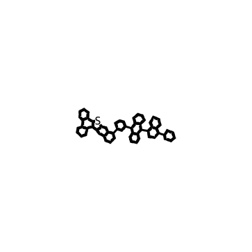 c1ccc(-c2ccc(-c3c4ccccc4c(-c4cccc(-c5cccc6cc7c(cc56)sc5c6ccccc6c6ccccc6c75)c4)c4ccccc34)c3ccccc23)cc1